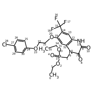 CCOP(=O)(Cn1c(=O)c(=O)[nH]c2cc(C(F)(F)F)c(OCCOc3ccc(Cl)cc3)cc21)OCC